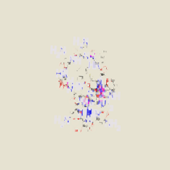 CNC(=O)c1ccccc1Sc1ccc2c(/C=C/c3ccccn3)nn(C(=O)C(C)NC(=O)CCC(=O)N[C@@H](CCN)C(=O)N[C@H](C(=O)N[C@@H](CCN)C(=O)N[C@H]3CCNC(=O)[C@H]([C@@H](C)O)NC(=O)[C@H](CCN)NC(=O)[C@H](CCN)NC(=O)[C@H](CC(C)C)NC(=O)[C@@H](Cc4ccccc4)NC(=O)[C@H](CCN)NC3=O)[C@@H](C)O)c2c1